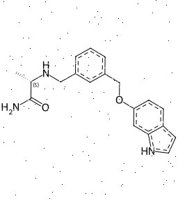 C[C@H](NCc1cccc(COc2ccc3cc[nH]c3c2)c1)C(N)=O